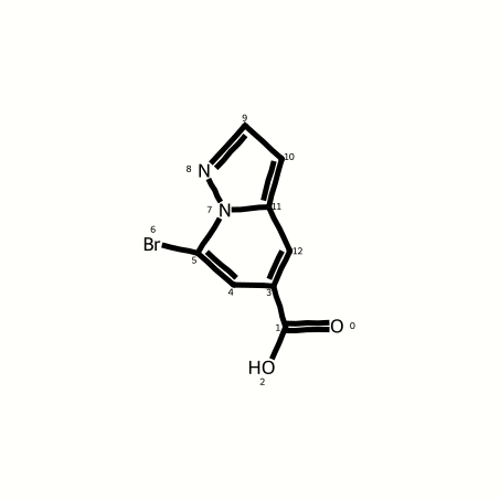 O=C(O)c1cc(Br)n2nccc2c1